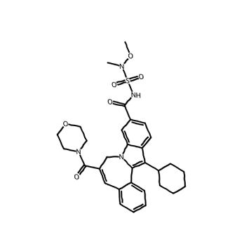 CON(C)S(=O)(=O)NC(=O)c1ccc2c(C3CCCCC3)c3n(c2c1)CC(C(=O)N1CCOCC1)=Cc1ccccc1-3